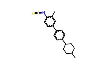 Cc1cc(-c2ccc(C3CCC(C)CC3)cc2)ccc1N=C=S